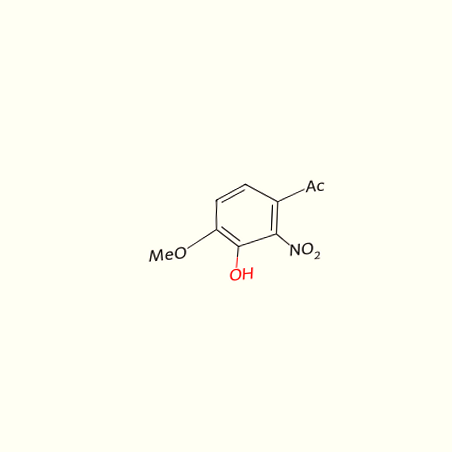 COc1ccc(C(C)=O)c([N+](=O)[O-])c1O